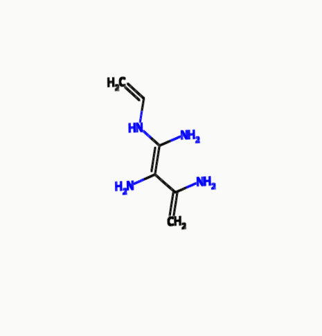 C=CN/C(N)=C(\N)C(=C)N